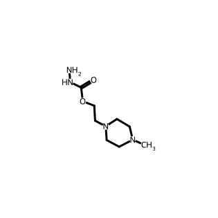 CN1CCN(CCOC(=O)NN)CC1